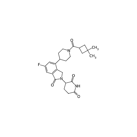 CC1(C)CC(C(=O)N2CCC(c3cc(F)cc4c3CN(C3CCC(=O)NC3=O)C4=O)CC2)C1